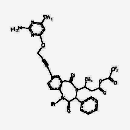 Cc1cc(OCC#Cc2ccc3c(c2)C(=O)N(C(C)CC(=O)OC(=O)C(F)(F)F)C(c2ccccc2)C(=O)N3C(C)C)nc(N)n1